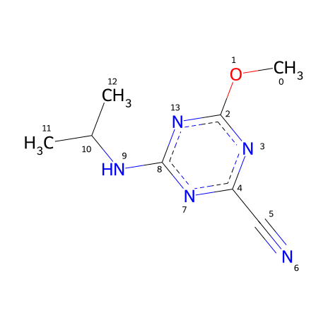 COc1nc(C#N)nc(NC(C)C)n1